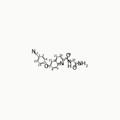 N#Cc1ccc(Oc2ccc3nc(C(=O)NCC(N)=O)ccc3c2)cc1